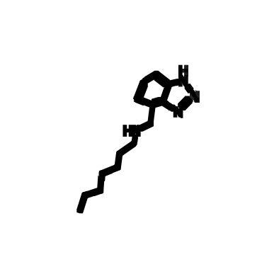 CCCCCCCNCc1cccc2[nH]nnc12